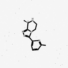 Cc1cccc(-c2nnc3n2CCN[C@@H]3C)n1